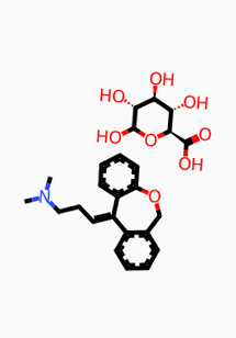 CN(C)CCC=C1c2ccccc2COc2ccccc21.O=C(O)[C@H]1OC(O)[C@H](O)[C@@H](O)[C@@H]1O